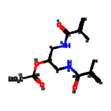 C=C(C)C(=O)NCC(CNC(=O)C(=C)C)OC(=O)C(=O)OCC